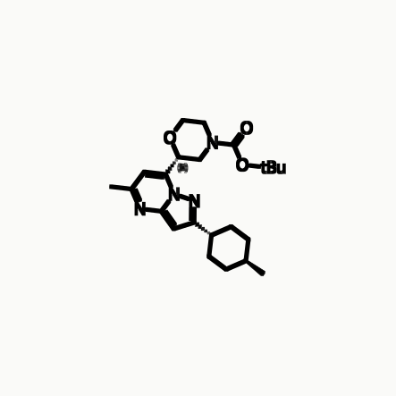 Cc1cc([C@H]2CN(C(=O)OC(C)(C)C)CCO2)n2nc([C@H]3CC[C@H](C)CC3)cc2n1